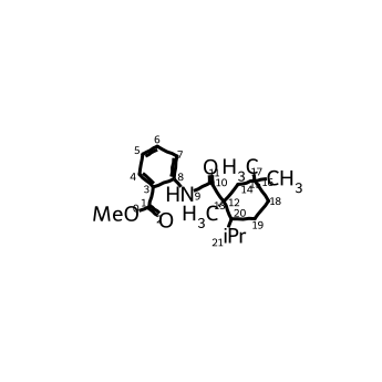 COC(=O)c1ccccc1NC(=O)[C@@]1(C)CC(C)(C)CCC1C(C)C